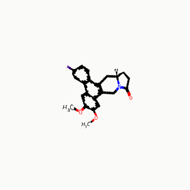 COc1cc2c3c(c4ccc(I)cc4c2cc1OC)C[C@@H]1CCC(=O)N1C3